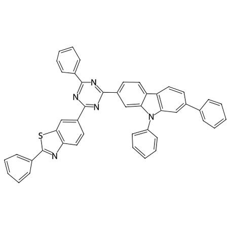 c1ccc(-c2ccc3c4ccc(-c5nc(-c6ccccc6)nc(-c6ccc7nc(-c8ccccc8)sc7c6)n5)cc4n(-c4ccccc4)c3c2)cc1